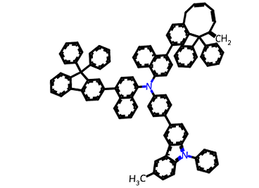 C=C1/C=C\C=C/Cc2ccc(-c3ccc(N(c4ccc(-c5ccc6c(c5)c5cc(C)ccc5n6-c5ccccc5)cc4)c4ccc(-c5ccc6c(c5)C(c5ccccc5)(c5ccccc5)c5ccccc5-6)c5ccccc45)c4ccccc34)cc2C1(c1ccccc1)c1ccccc1